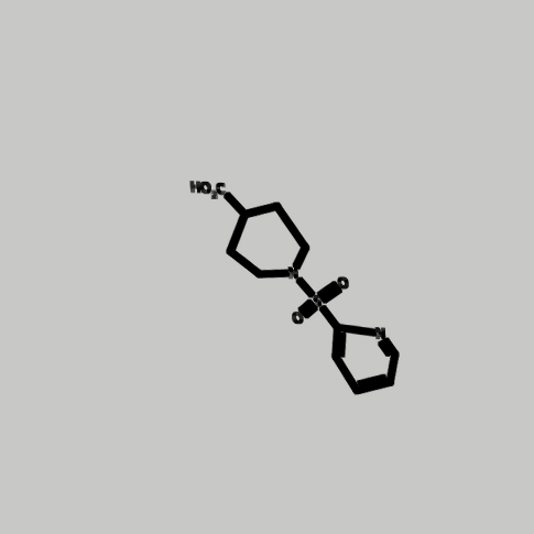 O=C(O)C1CCN(S(=O)(=O)c2ccccn2)CC1